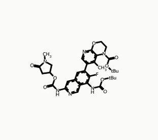 Cc1c(-c2cc3cc(NC(=O)OC4CC(=O)N(C)C4)ncc3c(NC(=O)OC(C)(C)C)c2F)cnc2c1N(C(=O)OC(C)(C)C)CCO2